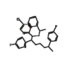 CC(CCCC(c1ccc(F)cn1)C(CC(C)c1ccccn1)c1ccc(Cl)cn1)c1ccc(F)cc1